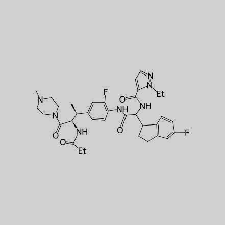 CCC(=O)N[C@@H](C(=O)N1CCN(C)CC1)[C@@H](C)c1ccc(NC(=O)C(NC(=O)c2ccnn2CC)C2CCc3cc(F)ccc32)c(F)c1